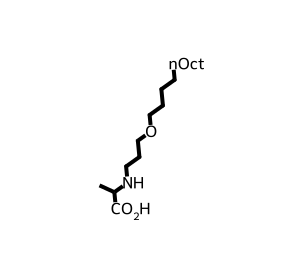 CCCCCCCCCCCCOCCCNC(C)C(=O)O